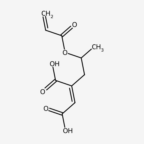 C=CC(=O)OC(C)C/C(=C/C(=O)O)C(=O)O